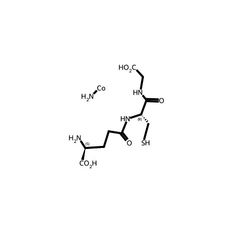 N[C@@H](CCC(=O)N[C@@H](CS)C(=O)NCC(=O)O)C(=O)O.[NH2][Co]